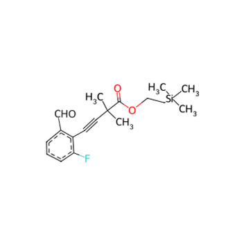 CC(C)(C#Cc1c(F)cccc1C=O)C(=O)OCC[Si](C)(C)C